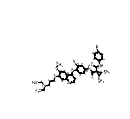 CCN(CC)CCCOc1cc2nccc(Oc3ccc(NC(=O)C4(C(=O)Nc5ccc(F)cc5)[C@H](C)[C@H]4C)cc3F)c2cc1OC